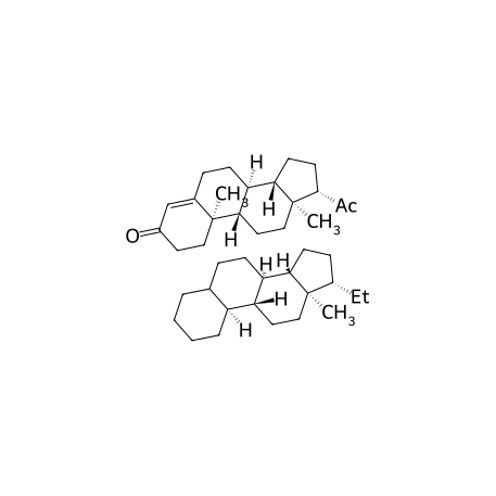 CC(=O)[C@H]1CC[C@H]2[C@@H]3CCC4=CC(=O)CC[C@]4(C)[C@H]3CC[C@]12C.CC[C@H]1CC[C@H]2[C@@H]3CCC4CCCC[C@@H]4[C@H]3CC[C@]12C